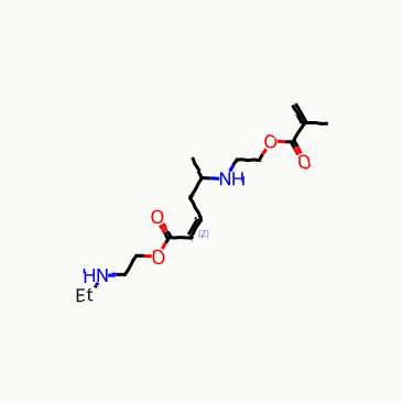 C=C(C)C(=O)OCCNC(C)C/C=C\C(=O)OCCNCC